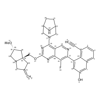 C#Cc1cccc2cc(O)cc(-c3ncc4c(N5CC6CCC(C5)N6)nc(OC[C@@]56CC(=C)CN5C[C@H](OC)C6)nc4c3F)c12